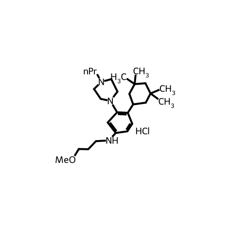 CCCN1CCN(c2cc(NCCCOC)ccc2C2CC(C)(C)CC(C)(C)C2)CC1.Cl